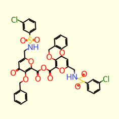 O=C(OC(=O)c1oc(CNS(=O)(=O)c2cccc(Cl)c2)cc(=O)c1OCc1ccccc1)c1oc(CNS(=O)(=O)c2cccc(Cl)c2)cc(=O)c1OCc1ccccc1